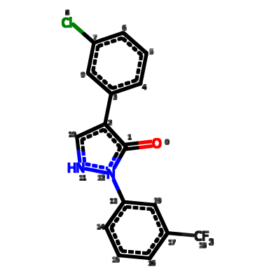 O=c1c(-c2cccc(Cl)c2)c[nH]n1-c1cccc(C(F)(F)F)c1